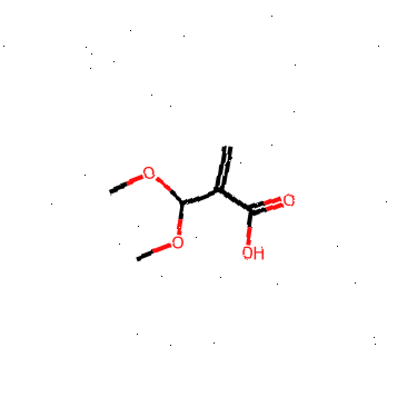 C=C(C(=O)O)C(OC)OC